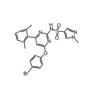 Cc1cccc(C)c1-c1cc(Oc2ccc(Br)cc2)nc(NS(=O)(=O)c2cnn(C)c2)n1